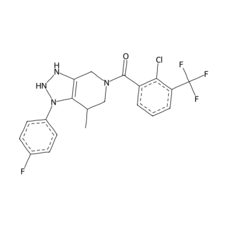 CC1CN(C(=O)c2cccc(C(F)(F)F)c2Cl)CC2=C1N(c1ccc(F)cc1)NN2